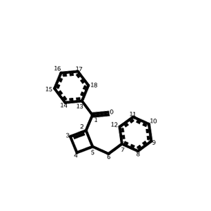 C=C(C1=CCC1Cc1ccccc1)c1ccccc1